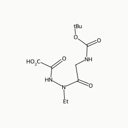 CCN(NC(=O)C(=O)O)C(=O)CNC(=O)OC(C)(C)C